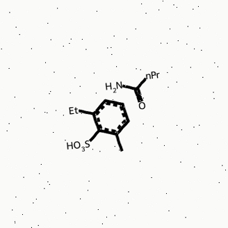 CCCC(N)=O.CCc1cccc(C)c1S(=O)(=O)O